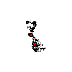 Cc1c(-c2ccc(N3CCc4cccc(C(=O)Nc5nc6ccccc6s5)c4C3)nc2C(=O)O)cnn1CC12CC3(C)CC(C)(C1)CC(OCCN(CCC(N)=O)C(=O)OCc1ccc(NC(=O)[C@H](C)NC(=O)[C@@H](NC(=O)CNC(=O)CCC(=O)O)C(C)C)cc1CC[C@@H]1O[C@H](C(=O)O)[C@@H](O)[C@H](O)[C@H]1O)(C3)C2